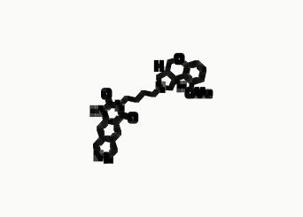 COc1cccc2c1[C@@H]1CN(CCCCn3c(=O)[nH]c4cc5cnncc5cc4c3=O)C[C@H]1CO2